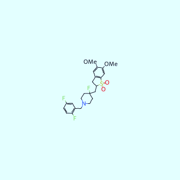 COc1cc2c(cc1OC)S(=O)(=O)C(CC1(F)CCN(Cc3cc(F)ccc3F)CC1)C2